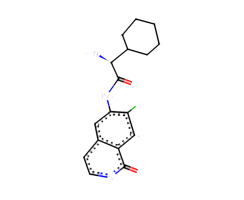 N[C@H](C(=O)Nc1cc2cc[nH]c(=O)c2cc1Cl)C1CCCCC1